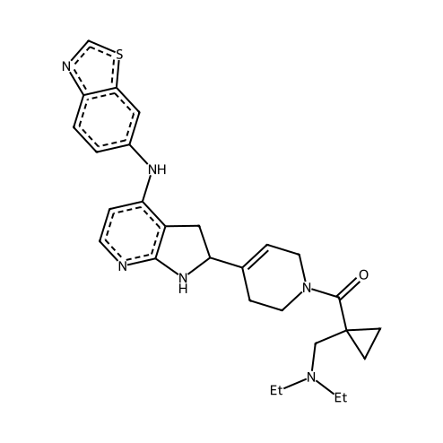 CCN(CC)CC1(C(=O)N2CC=C(C3Cc4c(Nc5ccc6ncsc6c5)ccnc4N3)CC2)CC1